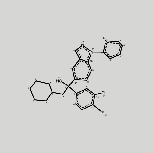 OC(CC1CCCCC1)(c1ccc(F)c(Cl)c1)c1ccc2c(cnn2-c2ccccn2)c1